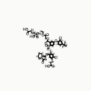 CCOC(=O)COC(=O)c1cc(Oc2ccc(C(F)(F)F)cc2Cl)ccc1[N+](=O)[O-].O=C(O)CNCP(=O)(O)O.O=C(O)CSc1cc(N=c2sc(=O)n3n2CCCC3)c(F)cc1Cl